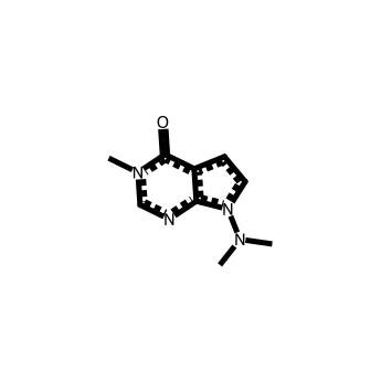 CN(C)n1ccc2c(=O)n(C)cnc21